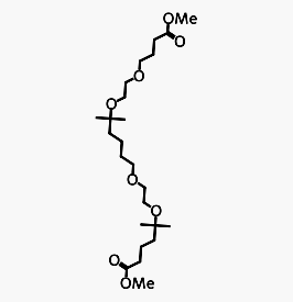 COC(=O)CCCOCCOC(C)(C)CCCCOCCOC(C)(C)CCCC(=O)OC